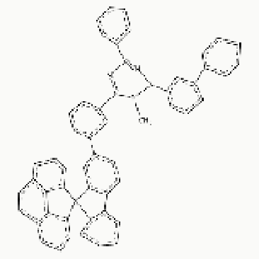 CN1C(c2cccc(-c3ccc4c(c3)C3(c5ccccc5-4)c4cccc5ccc6cccc3c6c45)c2)=NC(c2ccccc2)=NC1c1cccc(-c2ccccc2)c1